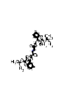 CC(C)OC(=O)N(C)[C@H](COC(=O)/C=C/C(=O)OC[C@H](c1ccccc1)N(C)C(=O)OC(C)C)c1ccccc1